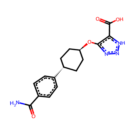 NC(=O)c1ccc([C@H]2CC[C@H](Oc3nn[nH]c3C(=O)O)CC2)cc1